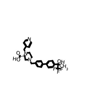 CC(O)(c1ccc(-c2ccc(CN3CCN(Cc4ccncc4)[C@@H](C(=O)O)C3)cc2)cc1)C(F)(F)F